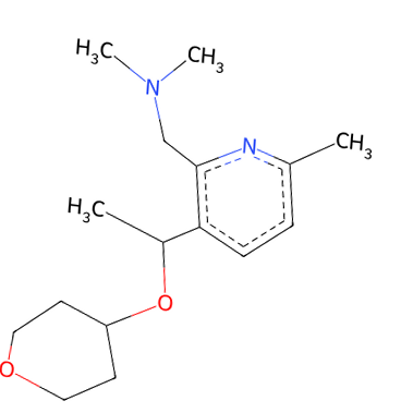 Cc1ccc(C(C)OC2CCOCC2)c(CN(C)C)n1